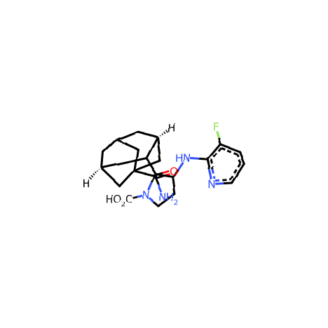 NC(=O)C12CC3C[C@H](C1)C(C1C(Nc4ncccc4F)CCN1C(=O)O)[C@@H](C3)C2